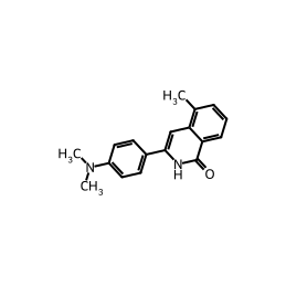 Cc1cccc2c(=O)[nH]c(-c3ccc(N(C)C)cc3)cc12